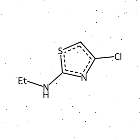 CCNc1nc(Cl)cs1